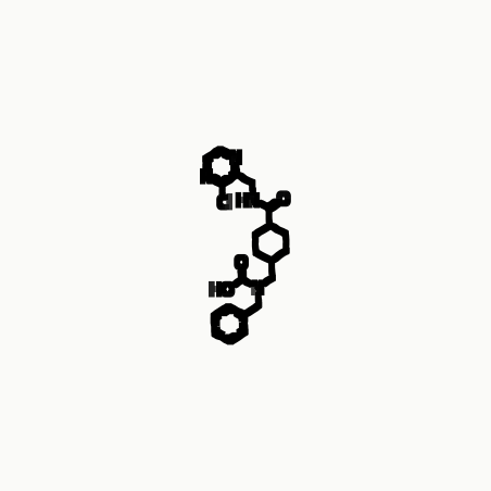 O=C(NCc1nccnc1Cl)C1CCC(CN(Cc2ccccc2)C(=O)O)CC1